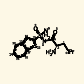 CC(C)C[C@H](N)C(=O)N=S(N)(=O)c1cc2ccccc2s1